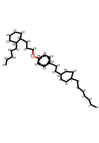 CCCCCCCC1CCC(CCc2ccc(OCCCC3CCCCC3CCCCC)cc2)CC1